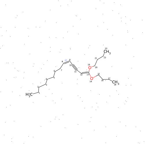 CCCCCCCC/C=C\C#CC=C(OCCCC)OCCCC